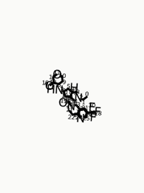 CCN1C[C@@H]2C[C@@H](NC3CCOCC3OC)C[C@]2(C(=O)N2CCc3ncc(C(F)(F)F)cc3C2)C1